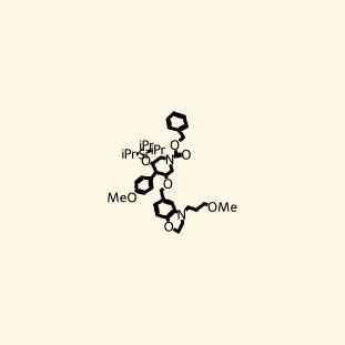 COCCCN1CCOc2ccc(COC3CN(C(=O)OCc4ccccc4)CC(O[Si](C(C)C)(C(C)C)C(C)C)C3c3ccc(OC)cc3)cc21